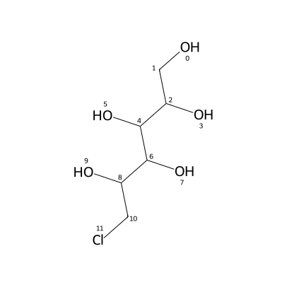 OCC(O)C(O)C(O)C(O)CCl